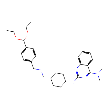 CCOC(OCC)c1ccc(CNC[C@H]2CC[C@@H](Nc3nc(N(C)C)c4ccccc4n3)CC2)cc1